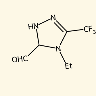 CCN1C(C(F)(F)F)=NNC1C=O